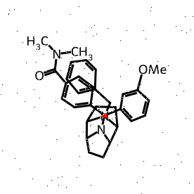 COc1cccc(C(c2ccc(C(=O)N(C)C)cc2)N2C3CCC2C2CCC3N2Cc2ccccc2)c1